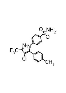 Cc1ccc(-c2c(Cl)c(C(F)(F)F)nn2-c2ccc(S(N)(=O)=O)cc2)cc1